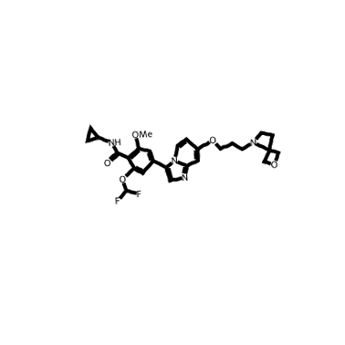 COc1cc(-c2cnc3cc(OCCCN4CCC45COC5)ccn23)cc(OC(F)F)c1C(=O)NC1CC1